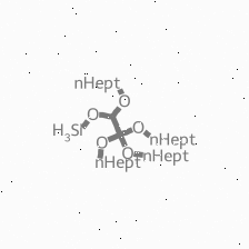 CCCCCCCOC(O[SiH3])C(OCCCCCCC)(OCCCCCCC)OCCCCCCC